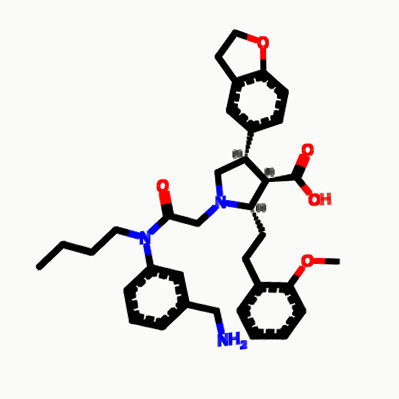 CCCCN(C(=O)CN1C[C@H](c2ccc3c(c2)CCO3)[C@@H](C(=O)O)[C@@H]1CCc1ccccc1OC)c1cccc(CN)c1